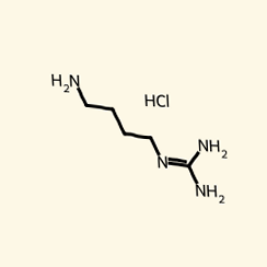 Cl.NCCCCN=C(N)N